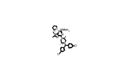 Cc1nc2c(N3C[C@@H](C)N(C(c4ccc(Cl)cc4)c4ccc(Cl)cc4)C[C@@H]3C)nc(NN)nc2n1C[C@@H]1CCCO1